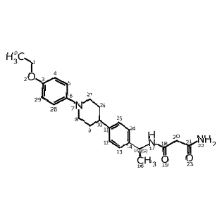 CCOc1ccc(N2CCC(c3ccc([C@H](C)NC(=O)CC(N)=O)cc3)CC2)cc1